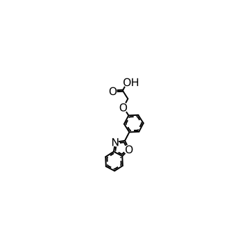 O=C(O)COc1cccc(-c2nc3ccccc3o2)c1